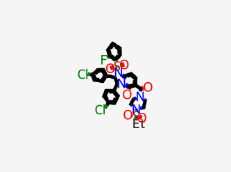 CCS(=O)(=O)N1CCN(C(=O)c2ccc3n(c2=O)C(c2ccc(Cl)cc2)C(c2ccc(Cl)cc2)N3S(=O)(=O)c2ccccc2F)CC1